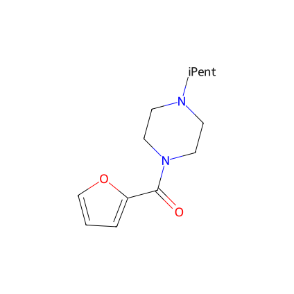 CCCC(C)N1CCN(C(=O)c2ccco2)CC1